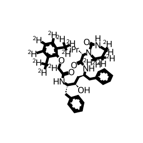 [2H]c1c([2H])c(C([2H])([2H])[2H])c(OCC(=O)N[C@@H](Cc2ccccc2)[C@@H](O)C[C@H](Cc2ccccc2)NC(=O)[C@H](C(C)C)N2C(=O)NC([2H])([2H])C([2H])([2H])C2([2H])[2H])c(C([2H])([2H])[2H])c1[2H]